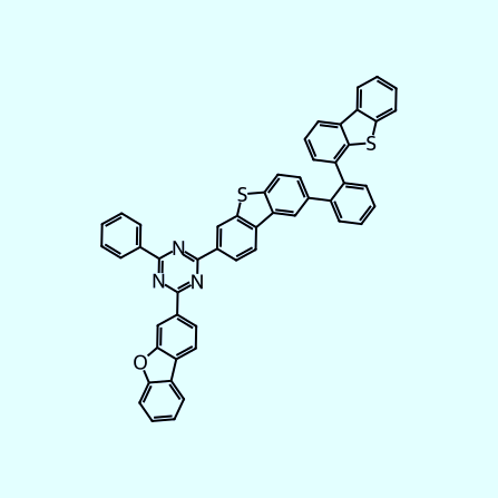 c1ccc(-c2nc(-c3ccc4c(c3)oc3ccccc34)nc(-c3ccc4c(c3)sc3ccc(-c5ccccc5-c5cccc6c5sc5ccccc56)cc34)n2)cc1